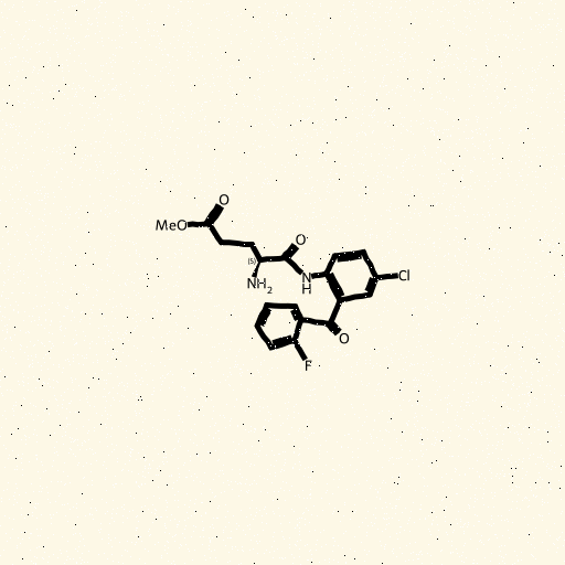 COC(=O)CC[C@H](N)C(=O)Nc1ccc(Cl)cc1C(=O)c1ccccc1F